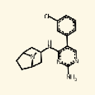 CN1C2CCC1CC(Nc1nc(N)ncc1-c1cccc(Cl)c1)C2